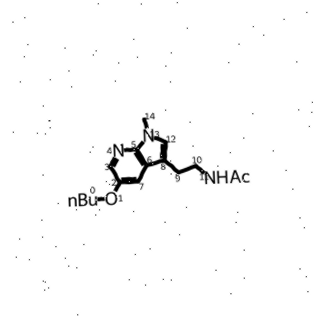 CCCCOc1cnc2c(c1)c(CCNC(C)=O)cn2C